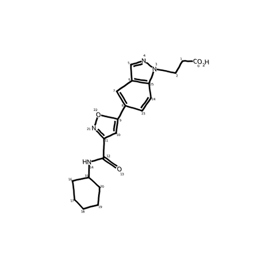 O=C(O)CCn1ncc2cc(-c3cc(C(=O)NC4CCCCC4)no3)ccc21